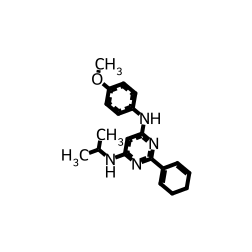 COc1ccc(Nc2cc(NC(C)C)nc(C3=CCCC=C3)n2)cc1